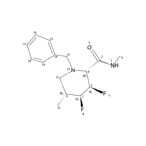 CNC(=O)[C@@H]1[C@@H](F)[C@@H](F)[C@H](C)CN1Cc1ccccc1